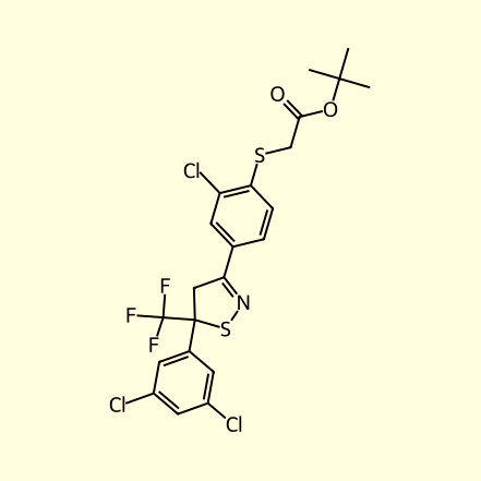 CC(C)(C)OC(=O)CSc1ccc(C2=NSC(c3cc(Cl)cc(Cl)c3)(C(F)(F)F)C2)cc1Cl